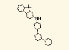 CC1(C)c2ccccc2-c2ccc(Nc3ccc(-c4cccc(-c5ccccc5)c4)cc3)cc21